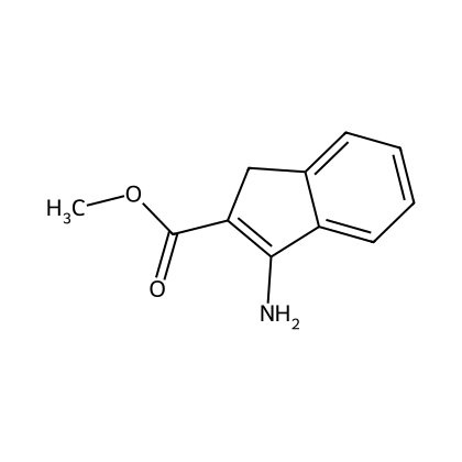 COC(=O)C1=C(N)c2ccccc2C1